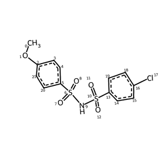 COc1ccc(S(=O)(=O)NS(=O)(=O)c2ccc(Cl)cc2)cc1